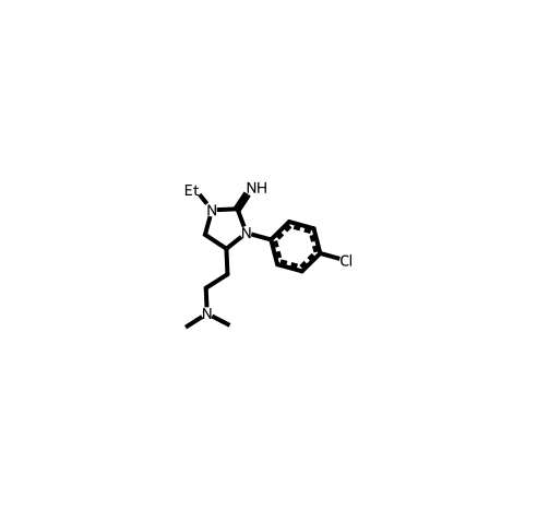 CCN1CC(CCN(C)C)N(c2ccc(Cl)cc2)C1=N